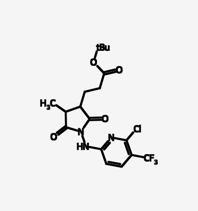 CC1C(=O)N(Nc2ccc(C(F)(F)F)c(Cl)n2)C(=O)C1CCC(=O)OC(C)(C)C